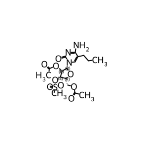 CCCc1cn([C@@H]2O[C@H](COC(C)=O)[C@H](OS(C)(=O)=O)[C@H]2OC(C)=O)c(=O)nc1N